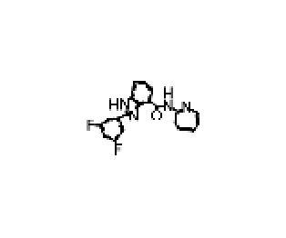 O=C(NC1=NC=CC=CC1)c1cccc2[nH]c(-c3cc(F)cc(F)c3)nc12